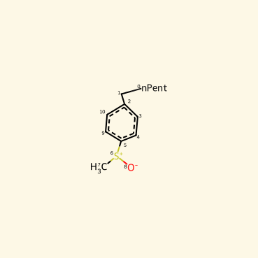 [CH2]CCCCCc1ccc([S+](C)[O-])cc1